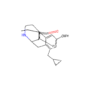 COc1cc(CC2CC2)c2c(c1)C13CCNC(C2)C1CC(C(C)C)C(=O)C3